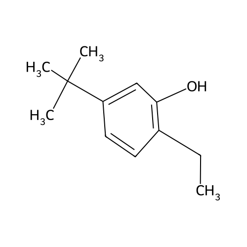 CCc1ccc(C(C)(C)C)cc1O